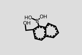 OCc1ccc2ccccc2c1B(O)O